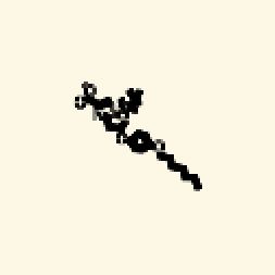 CCCCCCCOc1ccc(OC(CO[Si](C)(C)C(C)(C)C)Cc2nc(C(=O)OC)cs2)cc1